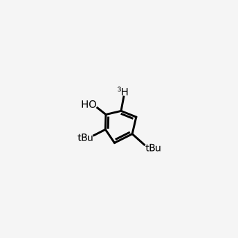 [3H]c1cc(C(C)(C)C)cc(C(C)(C)C)c1O